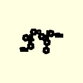 CC(C)(C)c1cccc(-[n+]2cn(-c3cccc(Oc4ccc5c6cc(-c7ccccc7)ccc6n(-c6cc(C(C)(C)C)ccn6)c5c4)c3)c3ccccc32)c1